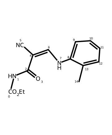 CCOC(=O)NC(=O)C(C#N)=CNc1ccccc1C